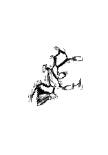 CCc1oc2c(Cl)cccc2c1C(=O)c1cc(I)c(O)c(I)c1